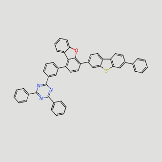 c1ccc(-c2ccc3c(c2)sc2cc(-c4ccc(-c5cccc(-c6nc(-c7ccccc7)nc(-c7ccccc7)n6)c5)c5c4oc4ccccc45)ccc23)cc1